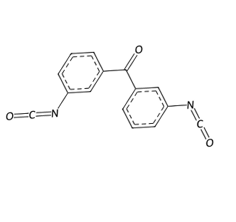 O=C=Nc1cccc(C(=O)c2cccc(N=C=O)c2)c1